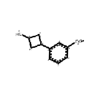 COc1cccc(C2CC(O)C2)c1